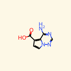 Nc1ncnn2ccc(C(=O)O)c12